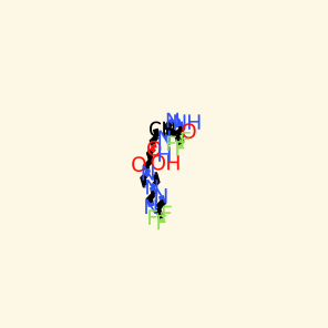 CC(COCC(O)C(=O)N1CCN(c2cnc(C(F)(F)F)cn2)CC1)Nc1cn[nH]c(=O)c1C(F)(F)F